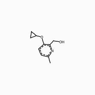 Cc1ccc(OC2CC2)c(CO)n1